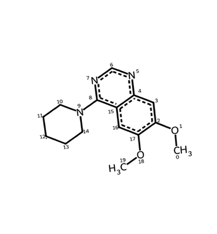 COc1cc2ncnc(N3CC[CH]CC3)c2cc1OC